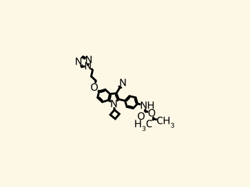 CC(C)OC(=O)Nc1ccc(-c2c(C#N)c3cc(OCCCn4cncn4)ccc3n2C2CCC2)cc1